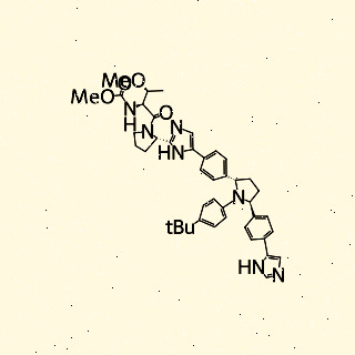 COC(=O)N[C@H](C(=O)N1CCC[C@H]1c1ncc(-c2ccc([C@@H]3CC[C@@H](c4ccc(-c5cnc[nH]5)cc4)N3c3ccc(C(C)(C)C)cc3)cc2)[nH]1)[C@H](C)OC